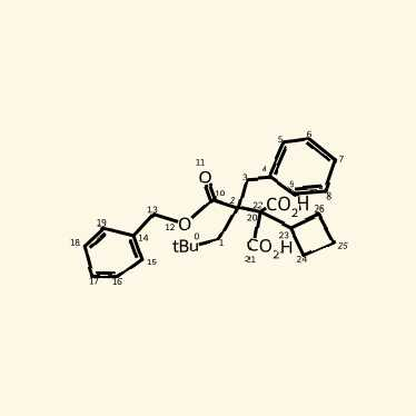 CC(C)(C)CC(Cc1ccccc1)(C(=O)OCc1ccccc1)C(C(=O)O)(C(=O)O)C1CCC1